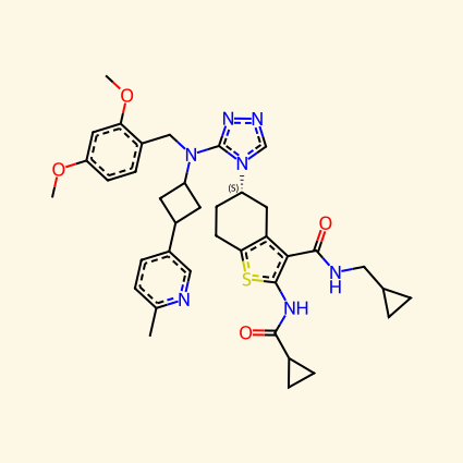 COc1ccc(CN(c2nncn2[C@H]2CCc3sc(NC(=O)C4CC4)c(C(=O)NCC4CC4)c3C2)C2CC(c3ccc(C)nc3)C2)c(OC)c1